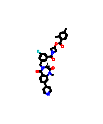 Cc1ccc(C(=O)OC2CN(C(=O)c3cc(F)cc(CN4C(=O)c5ccc(-c6ccncc6)cc5N(C)C(=O)[C@H]4C)c3)C2)c(C)c1